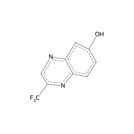 Oc1ccc2nc(C(F)(F)F)cnc2c1